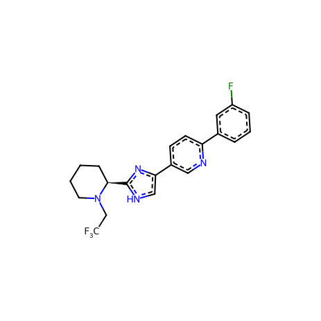 Fc1cccc(-c2ccc(-c3c[nH]c([C@@H]4CCCCN4CC(F)(F)F)n3)cn2)c1